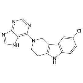 Clc1ccc2[nH]c3c(c2c1)CN(c1ncnc2nc[nH]c12)CC3